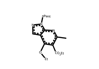 CCCCCn1ncc2c(OCC)c(C(=O)OCC)c(C)nc21